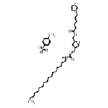 CCCCCCCCCCCCCCCCCNC(=O)OCC1COC(COC(=O)CCCCC[n+]2ccsc2)C1.Cc1ccc(S(=O)(=O)[O-])cc1